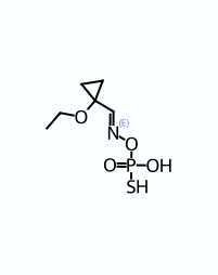 CCOC1(/C=N/OP(=O)(O)S)CC1